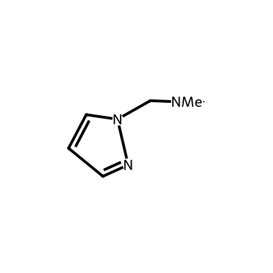 C[N]Cn1cccn1